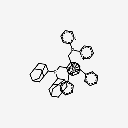 c1ccc([C]23[CH]4[C]5(CP(c6ccccn6)c6ccccn6)[C]6(CP(C7C8CC9CC(C8)CC7C9)C7C8CC9CC(C8)CC7C9)[C]2(c2ccccc2)[Fe]45362789[CH]3[CH]2[CH]7[CH]8[CH]39)cc1